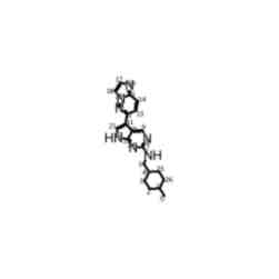 CC1CCC(CNc2ncc3c(-c4ccc5nccn5n4)c[nH]c3n2)CC1